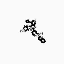 O[C@@H]1CNCC[C@H]1Nc1nc(-c2ccnc(Nc3ccc4ccccc4n3)c2)nc2cncc(C3=CC=C3)c12